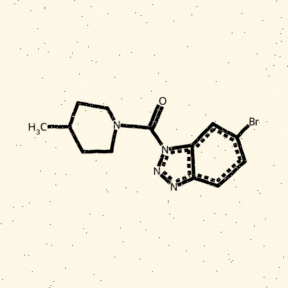 CC1CCN(C(=O)n2nnc3ccc(Br)cc32)CC1